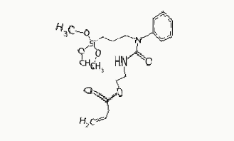 C=CC(=O)OCCNC(=O)N(CCC[Si](OC)(OC)OC)c1ccccc1